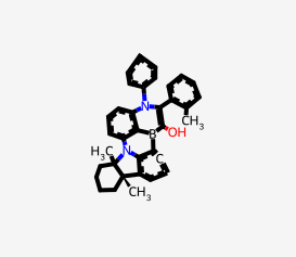 Cc1ccccc1C1=C(O)B2c3cccc4c3N(c3cccc(c32)N1c1ccccc1)C1(C)CCCC[C@@]41C